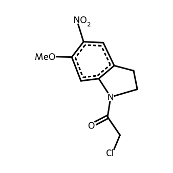 COc1cc2c(cc1[N+](=O)[O-])CCN2C(=O)CCl